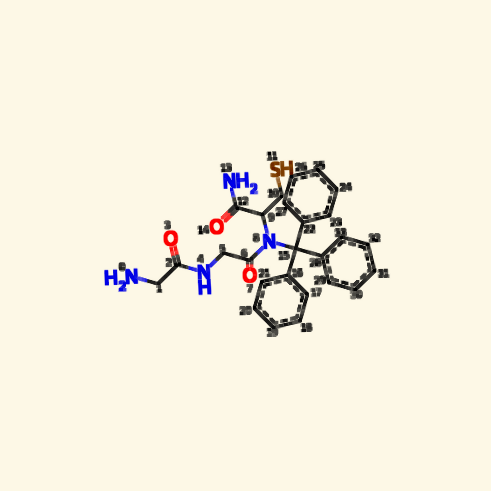 NCC(=O)NCC(=O)N(C(CS)C(N)=O)C(c1ccccc1)(c1ccccc1)c1ccccc1